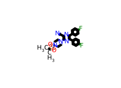 CC(C)S(=O)(=O)N1CCN(c2nc(-c3ccc(F)cc3)c(-c3ccc(F)cc3)nc2C#N)CC1